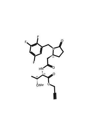 C#CCOC(=O)[C@@H](NC(=O)C[C@@H]1CCC(=O)N1Cc1cc(F)cc(F)c1F)[C@@H](C)OC